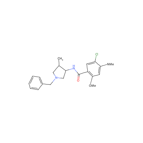 CNc1cc(OC)c(C(=O)NC2CN(Cc3ccccc3)CC2C)cc1Cl